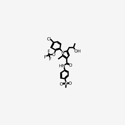 Cc1c(C(=O)Nc2ccc(S(C)(=O)=O)cc2)cc(CC(C)O)n1-c1ccc(Cl)cc1OC(F)(F)F